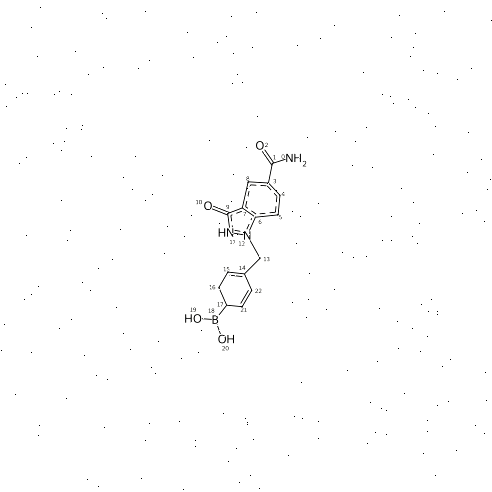 NC(=O)c1ccc2c(c1)c(=O)[nH]n2CC1=CCC(B(O)O)C=C1